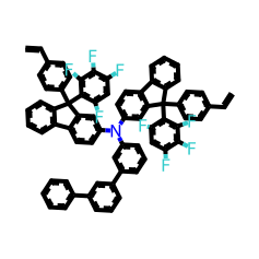 C=Cc1ccc(C2(c3c(F)cc(F)c(F)c3F)c3ccccc3-c3ccc(N(c4cccc(-c5cccc(-c6ccccc6)c5)c4)c4ccc5c(c4)C(c4ccc(C=C)cc4)(c4c(F)cc(F)c(F)c4F)c4ccccc4-5)cc32)cc1